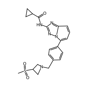 CS(=O)(=O)C1CN(Cc2ccc(-c3cccc4nc(NC(=O)C5CC5)nn34)cc2)C1